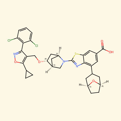 O=C(O)c1cc(C2C[C@H]3CC[C@@H](C2)O3)c2nc(N3C[C@@H]4C[C@H]3C[C@H]4OCc3c(-c4c(Cl)cccc4Cl)noc3C3CC3)sc2c1